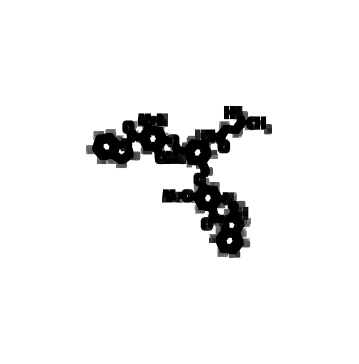 CNc1cc(OCc2cc(COc3cc4c(cc3OC)C(=O)N3c5ccccc5C[C@H]3C=N4)cc(NC(=O)CC[C@@H](C)S)c2)c(OC)cc1C(=O)N1CCc2ccccc21